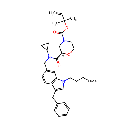 C=CC(C)(C)OC(=O)N1CCO[C@@H](C(=O)N(Cc2ccc3c(Cc4ccccc4)cn(CCCOC)c3c2)C2CC2)C1